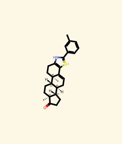 Cc1cccc(C2=[SH]C3=C(CC[C@@]4(C)C3=CC[C@@H]3[C@@H]4CC[C@]4(C)C(=O)CC[C@@H]34)N2)c1